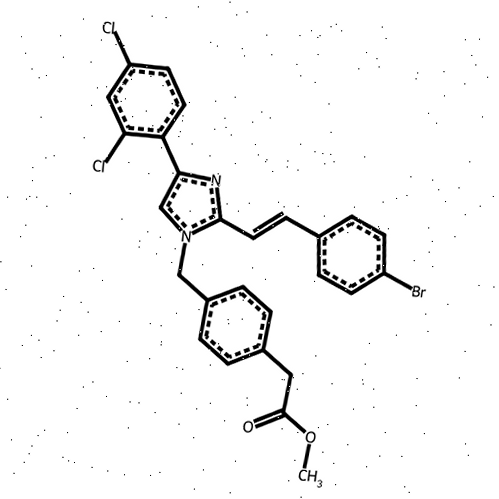 COC(=O)Cc1ccc(Cn2cc(-c3ccc(Cl)cc3Cl)nc2C=Cc2ccc(Br)cc2)cc1